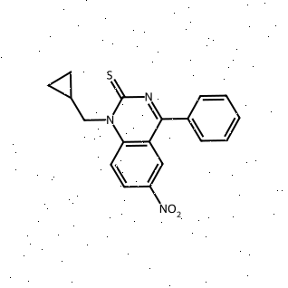 O=[N+]([O-])c1ccc2c(c1)c(-c1ccccc1)nc(=S)n2CC1CC1